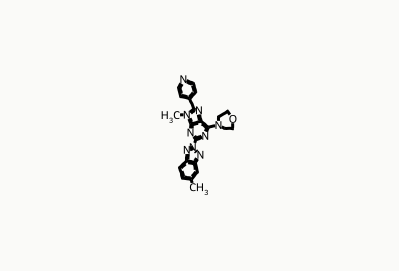 Cc1ccc2nn(-c3nc(N4CCOCC4)c4nc(-c5ccncc5)n(C)c4n3)nc2c1